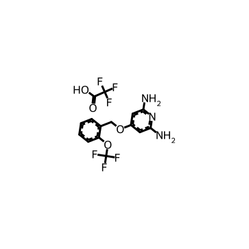 Nc1cc(OCc2ccccc2OC(F)(F)F)cc(N)n1.O=C(O)C(F)(F)F